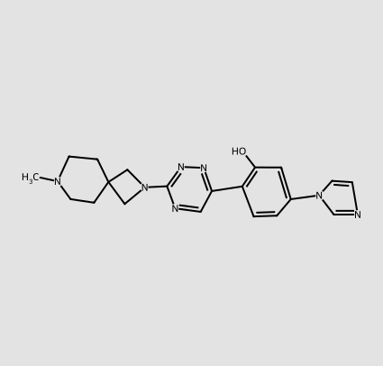 CN1CCC2(CC1)CN(c1ncc(-c3ccc(-n4ccnc4)cc3O)nn1)C2